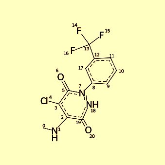 CNc1c(Cl)c(=O)n(-c2cccc(C(F)(F)F)c2)[nH]c1=O